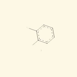 Cl.Nc1ccccc1C(F)(F)F